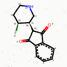 O=C1c2ccccc2C(=O)C1[C@@H]1CNCC[C@@H]1F